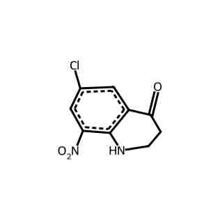 O=C1CCNc2c1cc(Cl)cc2[N+](=O)[O-]